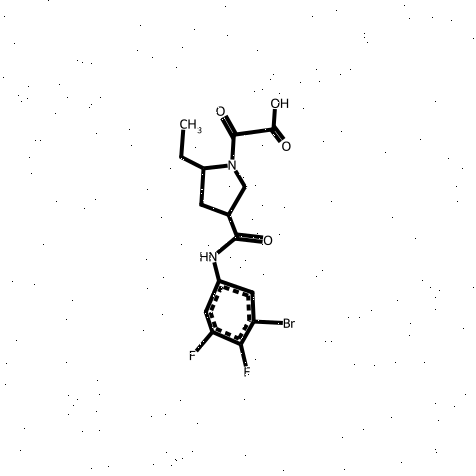 CCC1CC(C(=O)Nc2cc(F)c(F)c(Br)c2)CN1C(=O)C(=O)O